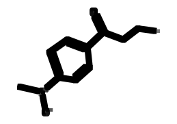 [CH2]CCC(=O)c1ccc([S+](C)[O-])cc1